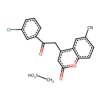 CS(=O)(=O)O.N#Cc1ccc2oc(=O)cc(CC(=O)c3cccc(Cl)c3)c2c1